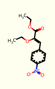 CCOC(=O)/C(=C/c1ccc([N+](=O)[O-])cc1)OCC